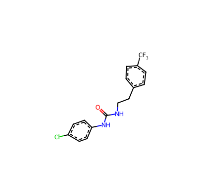 O=C(NCCc1ccc(C(F)(F)F)cc1)Nc1ccc(Cl)cc1